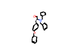 O=C[C@H](Cc1ccc(OCc2ccccc2)cc1)N(Cc1ccccc1)Cc1ccccc1